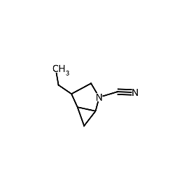 CCC1CN(C#N)C2CC12